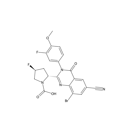 COc1ccc(-n2c([C@H]3C[C@H](F)CN3C(=O)O)nc3c(Br)cc(C#N)cc3c2=O)cc1F